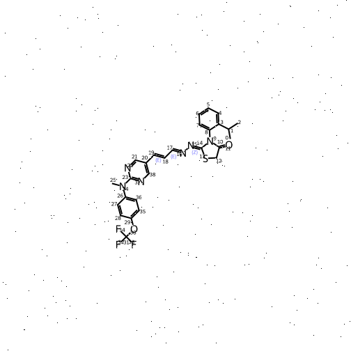 CC(C)c1ccccc1N1C(=O)CS\C1=N/N=C/C=C/c1cnc(N(C)c2ccc(OC(F)(F)F)cc2)nc1